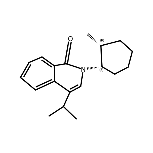 CC(C)c1cn([C@H]2CCCC[C@H]2C)c(=O)c2ccccc12